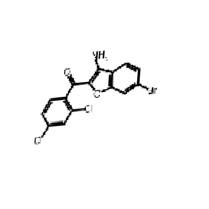 Nc1c(C(=O)c2ccc(Cl)cc2Cl)oc2cc(Br)ccc12